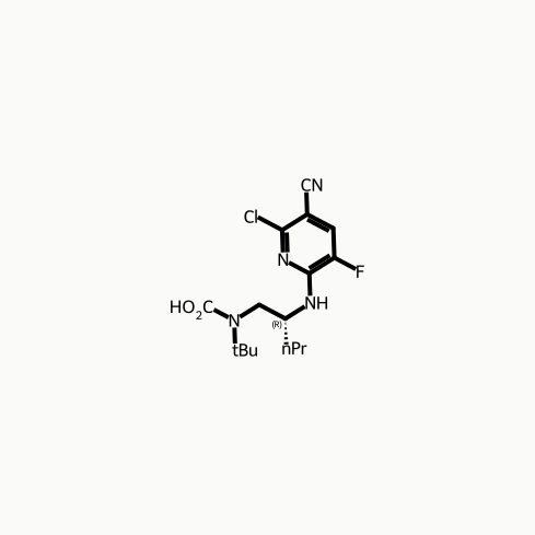 CCC[C@H](CN(C(=O)O)C(C)(C)C)Nc1nc(Cl)c(C#N)cc1F